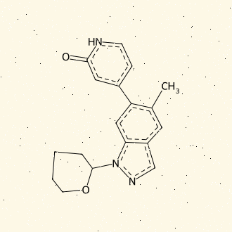 Cc1cc2cnn(C3CCCCO3)c2cc1-c1cc[nH]c(=O)c1